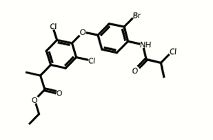 CCOC(=O)C(C)c1cc(Cl)c(Oc2ccc(NC(=O)C(C)Cl)c(Br)c2)c(Cl)c1